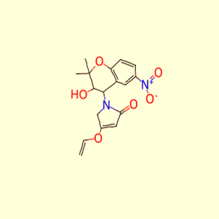 C=COC1=CC(=O)N(C2c3cc([N+](=O)[O-])ccc3OC(C)(C)C2O)C1